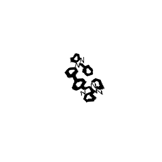 c1ccc(-c2nc3ccccc3n2-c2cccc(-c3ccc(-c4nc5ccccc5c5nc6ccccn6c45)cc3)c2)cc1